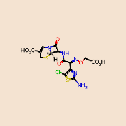 Nc1nc(C(=NOCC(=O)O)C(=O)NC2C(=O)N3C=C(C(=O)O)CS[C@H]23)c(Cl)s1